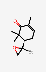 CCC1([C@@H]2CC=C(C)C(=O)C2(C)C)CO1